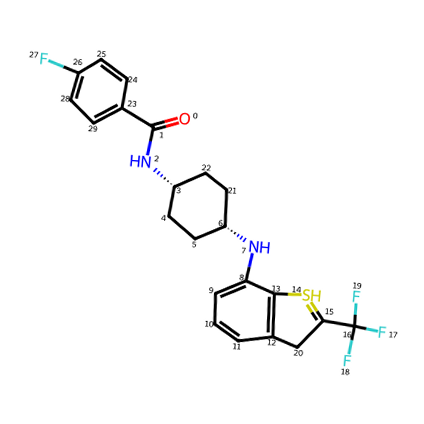 O=C(N[C@H]1CC[C@@H](Nc2cccc3c2[SH]=C(C(F)(F)F)C3)CC1)c1ccc(F)cc1